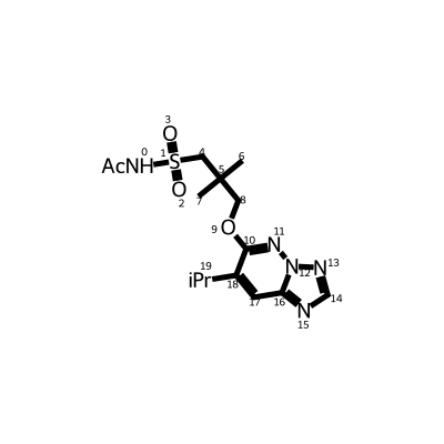 CC(=O)NS(=O)(=O)CC(C)(C)COc1nn2ncnc2cc1C(C)C